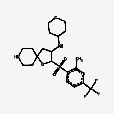 Cc1nc(C(F)(F)F)ccc1S(=O)(=O)C1OC2(CCNCC2)CC1NC1CCOCC1